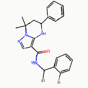 CCC(NC(=O)c1cnn2c1NC(c1ccccc1)CC2(C)C)c1ccccc1Br